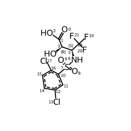 O=C(O)[C@H](O)[C@H](NS(=O)(=O)c1cc(Cl)ccc1Cl)C(F)(F)F